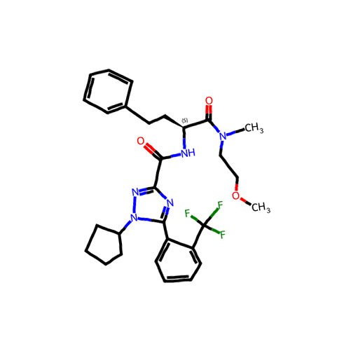 COCCN(C)C(=O)[C@H](CCc1ccccc1)NC(=O)c1nc(-c2ccccc2C(F)(F)F)n(C2CCCC2)n1